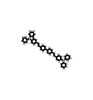 C(=Cc1ccc(N(c2ccccc2)c2ccccc2)cc1)c1ccc(-c2ccc(C=Cc3ccc4c(c3)c3ccccc3n4-c3ccccc3)cc2)cc1